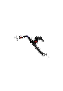 CCCCCCCC/C=C\CCCCCCCCO[C@H](COCCCCCCCCCCCCCCCC)COP(=O)(O)OCC[N+](C)(C)C